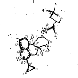 CCN(CC(F)(F)F)C(=O)N[C@H]1C[C@@H]2c3cccc4[nH]c(C5CC5)c(c34)C[C@H]2N(C)C1